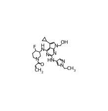 C=CC(=O)N1CC[C@@H](F)[C@@H](Nc2nc(Nc3cnn(CC)c3)nc3c2c(C2CC2)cn3CO)C1